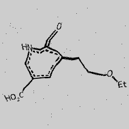 CCOCCc1cc(C(=O)O)c[nH]c1=O